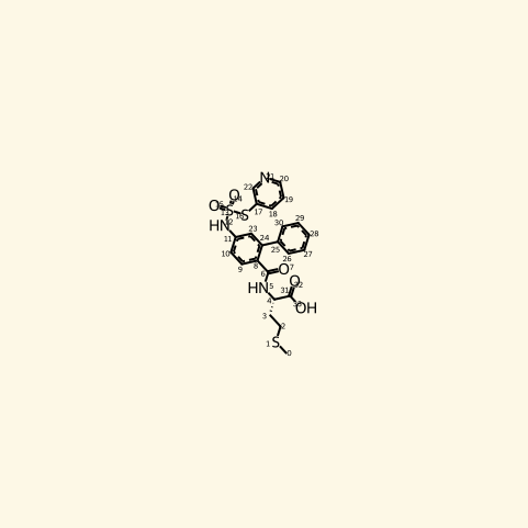 CSCC[C@H](NC(=O)c1ccc(NS(=O)(=O)Sc2cccnc2)cc1-c1ccccc1)C(=O)O